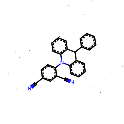 N#Cc1ccc(N2c3ccccc3C(c3ccccc3)c3ccccc32)c(C#N)c1